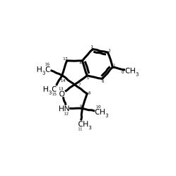 Cc1ccc2c(c1)C1(CC(C)(C)NO1)C(C)(C)C2